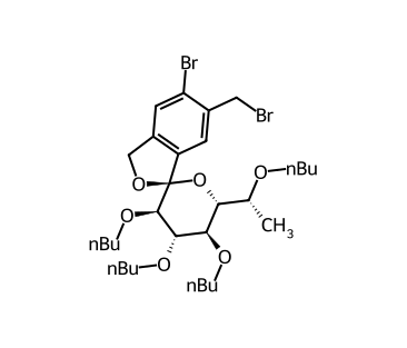 CCCCO[C@H]1[C@H](OCCCC)[C@@H](OCCCC)[C@@]2(OCc3cc(Br)c(CBr)cc32)O[C@@H]1[C@@H](C)OCCCC